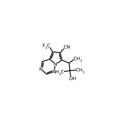 CC(c1c(C#N)c(C(F)(F)F)c2cncnn12)C(C)(C)O